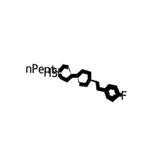 CCCCC[Si@H]1CC[C@H]([C@H]2CC[C@H](CCc3ccc(F)cc3)CC2)CC1